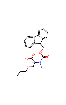 CCCOC[C@@H](C(=O)O)N(C)C(=O)OCC1c2ccccc2-c2ccccc21